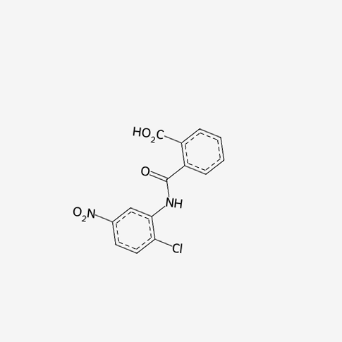 O=C(O)c1ccccc1C(=O)Nc1cc([N+](=O)[O-])ccc1Cl